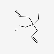 C=CC[N+](CC)(CC)CC=C.[Cl-]